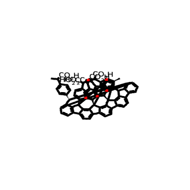 CC(C(=O)O)c1ccc([C@]23C4=C5[C@]6(c7ccc(C(C)C(=O)O)cc7)c7c8ccc(c72)-c2ccc7c(c23)[C@]2(c3ccc(C(C)C(=O)O)cc3)C4=C3[C@@]4(c9ccc(C(C)C(=O)O)cc9)c9c(ccc-7c92)-c2ccc7c(c24)[C@@](c2ccc(C(C)C(=O)O)cc2)(c2c-7ccc-8c26)[C@@]53C)cc1